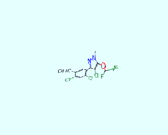 Cn1nc(-c2cc(C=O)c(Cl)cc2Cl)c(Cl)c1OC(F)F